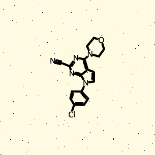 N#Cc1nc(N2CCOCC2)c2ccn(-c3ccc(Cl)cc3)c2n1